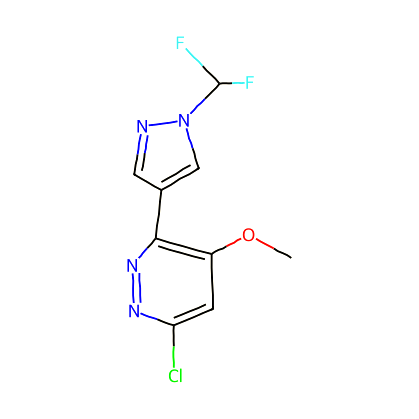 COc1cc(Cl)nnc1-c1cnn(C(F)F)c1